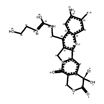 CC[C@@]1(O)C(=O)OCc2c1cc1n(c2=O)Cc2c-1nc1cc(F)c(N)cc1c2CNC(O)=[SH]CCO